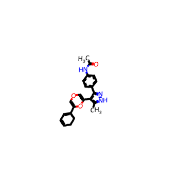 CC(=O)Nc1ccc(-c2n[nH]c(C)c2C2=COC=C(C3=CC=CCC3)O2)cc1